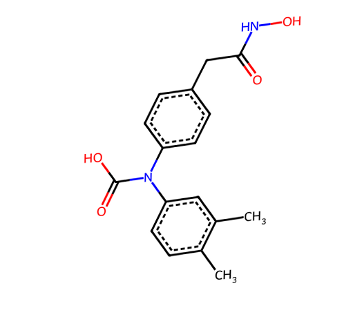 Cc1ccc(N(C(=O)O)c2ccc(CC(=O)NO)cc2)cc1C